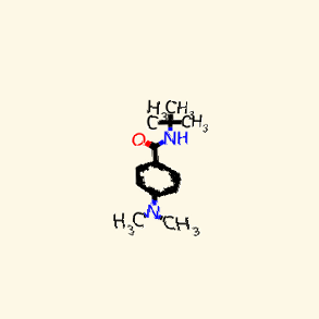 CN(C)c1ccc(C(=O)NC(C)(C)C)cc1